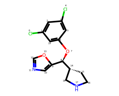 Clc1cc(Cl)cc(O[C@H](c2cnco2)[C@@H]2CCNC2)c1